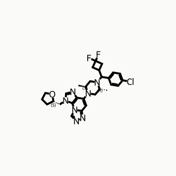 C[C@@H]1CN(c2cc3nncn3c3c2ncn3C[C@@H]2CCCO2)[C@@H](C)CN1C(c1ccc(Cl)cc1)C1CC(F)(F)C1